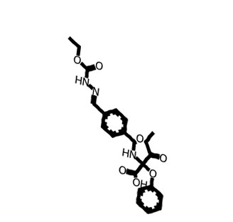 CCOC(=O)NN=Cc1ccc(C(=O)NC(Oc2ccccc2)(C(=O)O)C(=O)CC)cc1